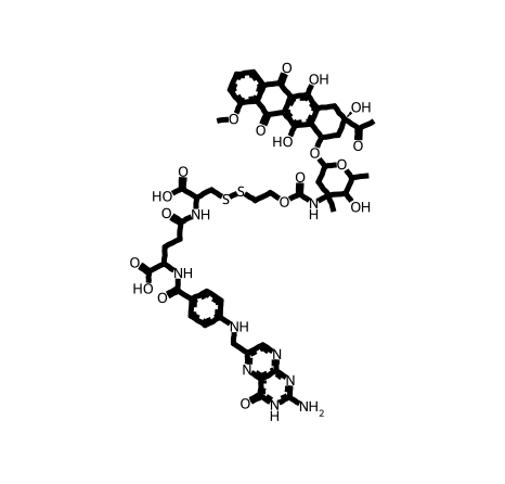 COc1cccc2c1C(=O)c1c(O)c3c(c(O)c1C2=O)C[C@@](O)(C(C)=O)CC3OC1CC(C)(NC(=O)OCCSSCC(NC(=O)CCC(NC(=O)c2ccc(NCc3cnc4nc(N)[nH]c(=O)c4n3)cc2)C(=O)O)C(=O)O)C(O)C(C)O1